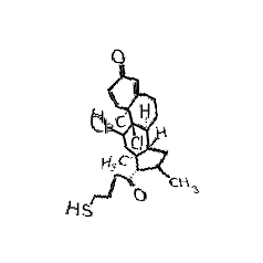 CC1C[C@H]2[C@@H]3CCC4=CC(=O)C=C[C@]4(C)[C@@]3(Cl)C(Cl)C[C@]2(C)[C@H]1C(=O)C=CCS